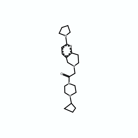 O=C(CN1CCc2nc(N3CCCC3)ccc2C1)N1CCN(C2CCC2)CC1